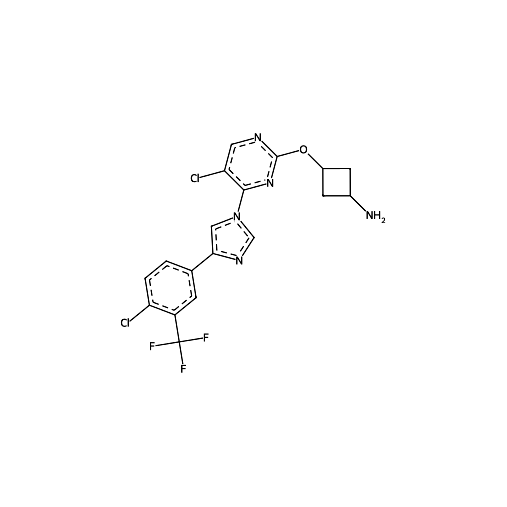 NC1CC(Oc2ncc(Cl)c(-n3cnc(-c4ccc(Cl)c(C(F)(F)F)c4)c3)n2)C1